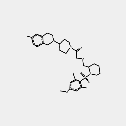 COc1cc(C)c(S(=O)(=O)N2CCCCC2COCC(=O)N2CCC(N3CCc4cc(F)ccc4C3)CC2)c(C)c1